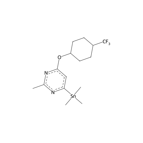 Cc1nc(OC2CCC(C(F)(F)F)CC2)c[c]([Sn]([CH3])([CH3])[CH3])n1